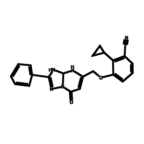 N#Cc1cccc(OCC2=CC(=O)N3N=C(c4ccccc4)NC3N2)c1C1CC1